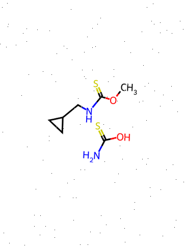 COC(=S)NCC1CC1.NC(O)=S